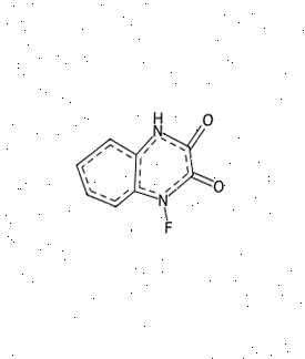 O=c1[nH]c2ccccc2n(F)c1=O